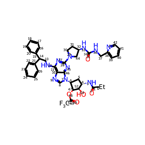 CCC(=O)N[C@H]1C[C@@H](n2cnc3c(NCC(c4ccccc4)c4ccccc4)nc(N4CC[C@@H](NC(=O)NCc5ccccn5)C4)nc32)[C@H](OC(=O)C(F)(F)F)[C@@H]1O